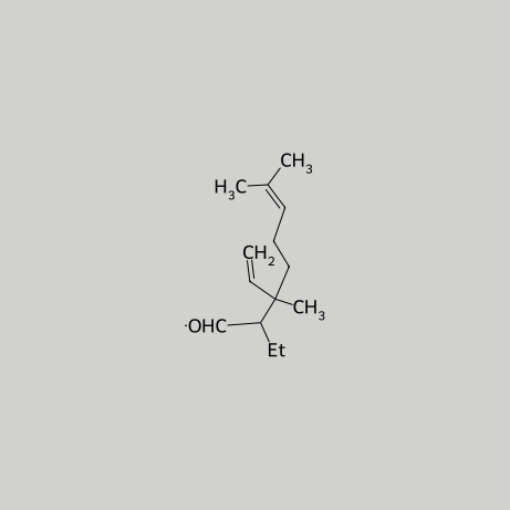 C=CC(C)(CCC=C(C)C)C([C]=O)CC